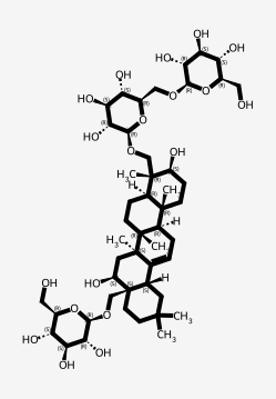 CC1(C)CC[C@]2(CO[C@@H]3O[C@H](CO)[C@@H](O)[C@H](O)[C@H]3O)[C@@H](O)C[C@]3(C)C(=CC[C@@H]4[C@@]5(C)CC[C@H](O)[C@@](C)(CO[C@@H]6O[C@H](CO[C@@H]7O[C@H](CO)[C@@H](O)[C@H](O)[C@H]7O)[C@@H](O)[C@H](O)[C@H]6O)[C@@H]5CC[C@]43C)[C@@H]2C1